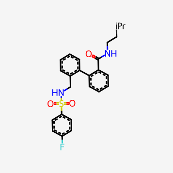 CC(C)CCNC(=O)c1ccccc1-c1ccccc1CNS(=O)(=O)c1ccc(F)cc1